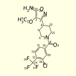 COc1c(C2CCN(C(=O)c3ccc(C(F)(F)F)c(Cl)c3)CC2)noc1N